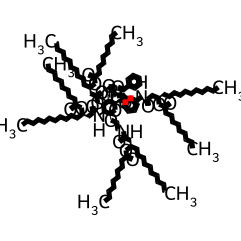 CCCCCCCCCCC[C@H](CC(=O)NCCOC[C@H]1O[C@H](OCCNC(=O)C[C@@H](CCCCCCCCCCC)OC(=O)CCCCCCCCC)[C@@H](NC(=O)C[C@@H](CCCCCCCCCCC)OC(=O)CCCCCCCCC)[C@@H](OC(=O)C[C@@H](CCCCCCCCCCC)OC(=O)CCCCCCCCC)[C@@H]1OP(=O)(OCc1ccccc1)OCc1ccccc1)OC(=O)CCCCCCCCC